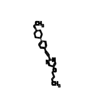 CCCCOc1cnc(C#Cc2ccc([C@H]3CC[C@H](CC)CC3)cc2)nc1